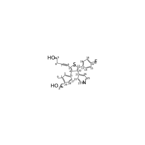 Cc1cc(-c2c(C#CCCO)sc(-c3ccc(F)cc3)c2-c2ccncc2)ccc1C(=O)O